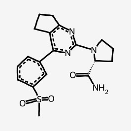 CS(=O)(=O)c1cccc(-c2nc(N3CCC[C@@H]3C(N)=O)nc3c2CCC3)c1